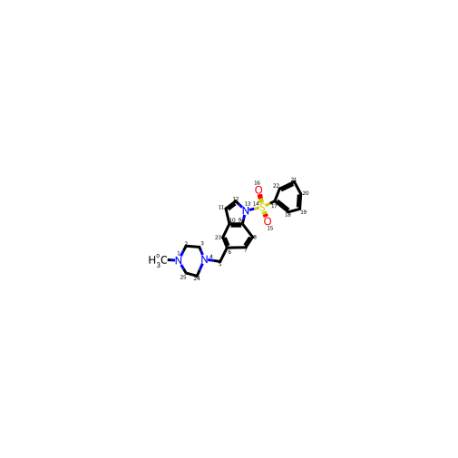 CN1CCN(Cc2ccc3c(ccn3S(=O)(=O)c3ccccc3)c2)CC1